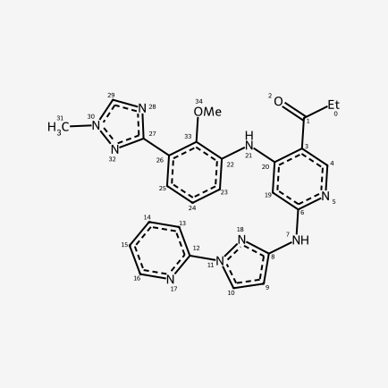 CCC(=O)c1cnc(Nc2ccn(-c3ccccn3)n2)cc1Nc1cccc(-c2ncn(C)n2)c1OC